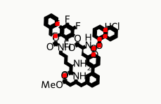 COC(=O)CC(Cc1cccc(-c2ccc(OCc3ccccc3)c(C[C@H](NC(=O)OCc3ccccc3)C(=O)Oc3c(F)c(F)c(F)c(F)c3F)c2)c1)NC(=O)[C@@H](N)CCCNC(=O)OCc1ccccc1.Cl